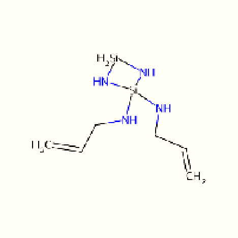 C=CCN[Si]1(NCC=C)N[SiH2]N1